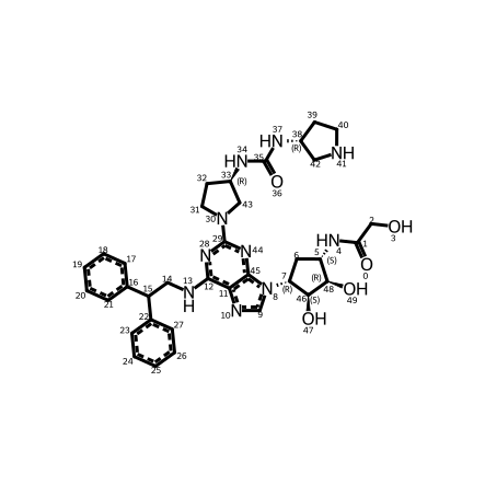 O=C(CO)N[C@H]1C[C@@H](n2cnc3c(NCC(c4ccccc4)c4ccccc4)nc(N4CC[C@@H](NC(=O)N[C@@H]5CCNC5)C4)nc32)[C@H](O)[C@@H]1O